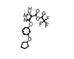 O=C(OC(=O)C(F)(F)F)c1[nH]nnc1Oc1cccc(OC2CCCC2)c1